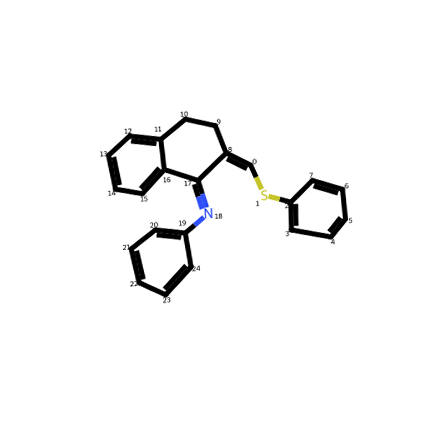 C(Sc1ccccc1)=C1CCc2ccccc2C1=Nc1ccccc1